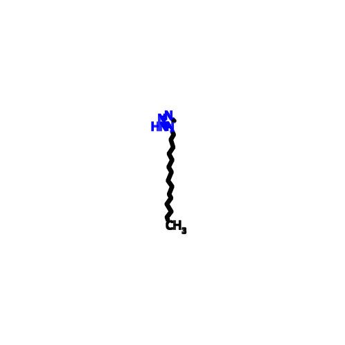 CCCCCCCCCCCCCCCN1CN=NN1